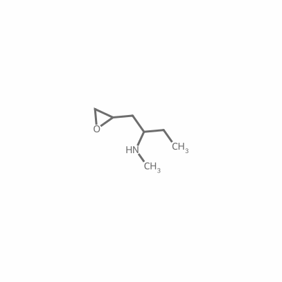 CCC(CC1CO1)NC